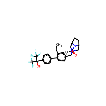 CCc1cc(CN2CC3CCC(C2)N3C(C)=O)ccc1-c1ccc(C(O)(C(F)(F)F)C(F)(F)F)cc1